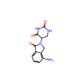 Nc1cccc2c1CN(C1CNC(=O)NC1=O)C2=O